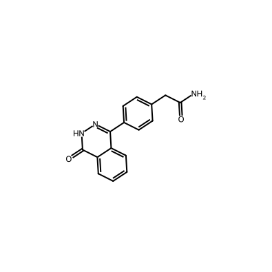 NC(=O)Cc1ccc(-c2n[nH]c(=O)c3ccccc23)cc1